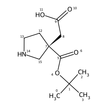 CC(C)(C)OC(=O)[C@@]1(CC(=O)O)CCNC1